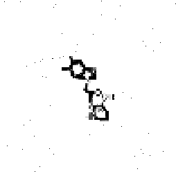 Cc1cc2ncn(CC(=O)C[C@H]3NCCC[C@@H]3O)c2cc1C